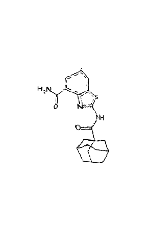 NC(=O)c1c[c]cc2sc(NC(=O)C34CC5CC(CC(C5)C3)C4)nc12